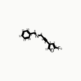 Fc1cc(C#CC/N=C/c2ccccc2)co1